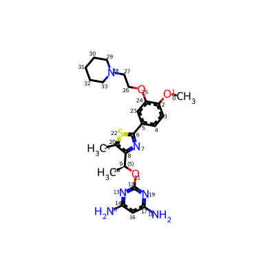 COc1ccc(-c2nc([C@H](C)Oc3nc(N)cc(N)n3)c(C)s2)cc1OCCN1CCCCC1